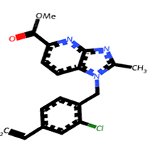 C=Cc1ccc(Cn2c(C)nc3nc(C(=O)OC)ccc32)c(Cl)c1